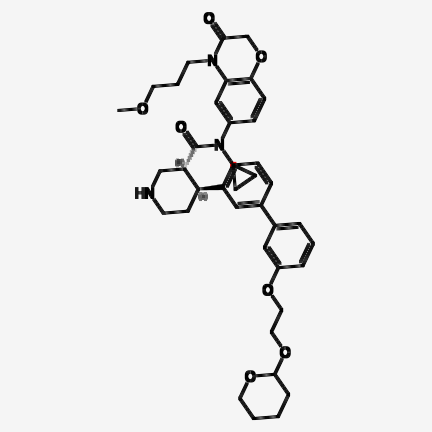 COCCCN1C(=O)COc2ccc(N(C(=O)[C@H]3CNCC[C@@H]3c3cccc(-c4cccc(OCCOC5CCCCO5)c4)c3)C3CC3)cc21